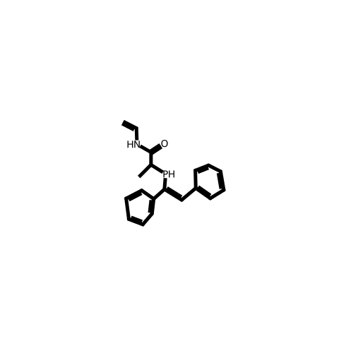 C=CNC(=O)C(C)PC(=Cc1ccccc1)c1ccccc1